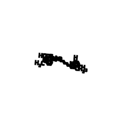 Cc1nn(C)c2c(C(C(=O)O)N3CC(OCCCCCc4ccc5c(n4)NCCC5(C)C)C3)cccc12